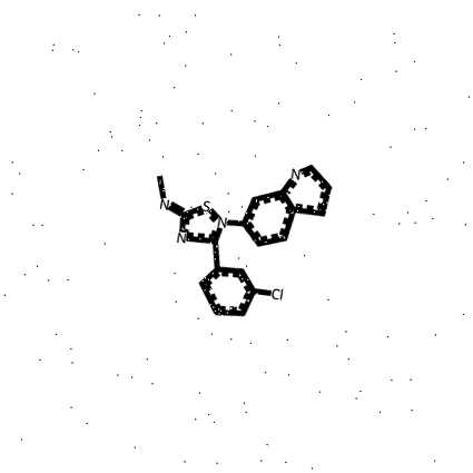 CN=c1nc(-c2cccc(Cl)c2)n(-c2ccc3cccnc3c2)s1